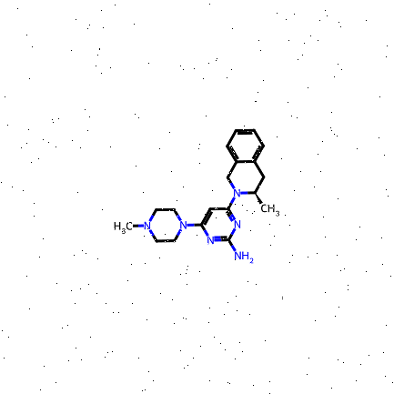 C[C@@H]1Cc2ccccc2CN1c1cc(N2CCN(C)CC2)nc(N)n1